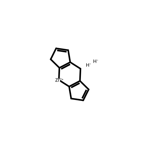 C1=CC2=[C](C1)[Zr+2][C]1=C(C=CC1)C2.[H-].[H-]